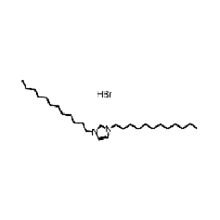 Br.CCCCCCCCCCCCN1C=CN(CCCCCCCCCCCC)C1